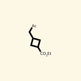 CCOC(=O)C1CC(CC(C)=O)C1